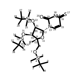 CC(C)(C)[Si](C)(C)OC[C@@]1(F)O[C@@H](n2ccc(=S)[nH]c2=O)[C@H](O[Si](C)(C)C(C)(C)C)[C@@H]1O[Si](C)(C)C(C)(C)C